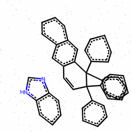 C1=CC(c2ccccc2)(c2ccccc2)C(c2ccccc2)(c2ccccc2)c2cc3ccccc3cc21.c1ccc2[nH]cnc2c1